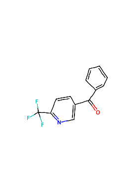 O=C(c1ccccc1)c1ccc(C(F)(F)F)nc1